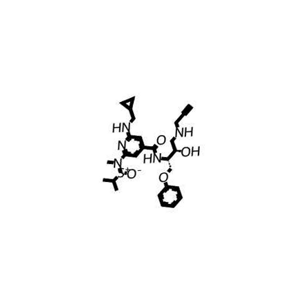 C#CCNC[C@@H](O)[C@H](COc1ccccc1)NC(=O)c1cc(NCC2CC2)nc(N(C)[S+]([O-])C(C)C)c1